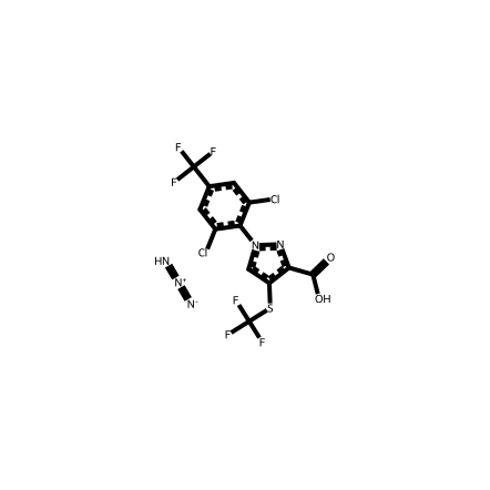 O=C(O)c1nn(-c2c(Cl)cc(C(F)(F)F)cc2Cl)cc1SC(F)(F)F.[N-]=[N+]=N